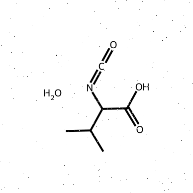 CC(C)C(N=C=O)C(=O)O.O